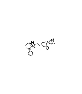 COc1cc(C=Cc2nc3n(n2)CCC[C@@H]3c2ccccc2)ccc1-n1cnc(C)c1